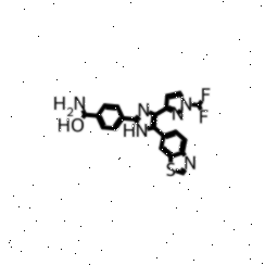 NC(O)c1ccc(-c2nc(-c3ccn(C(F)F)n3)c(-c3ccc4ncsc4c3)[nH]2)cc1